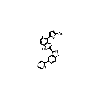 CC(=O)c1ccc(-c2nccc3[nH]c(-c4n[nH]c5ccc(-c6cnccn6)cc45)nc23)s1